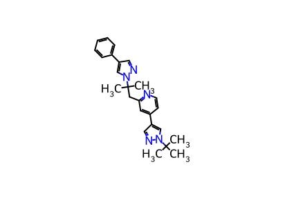 CC(C)(C)n1cc(-c2ccnc(CC(C)(C)n3cc(-c4ccccc4)cn3)c2)cn1